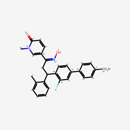 Cc1ccccc1C(CC(=NO)c1ccc(=O)n(C)c1)c1ccc(-c2ccc(C(=O)O)cc2)cc1F